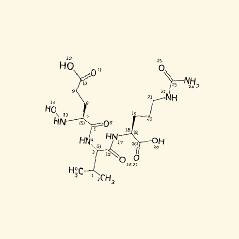 CC(C)[C@H](NC(=O)[C@H](CCC(=O)O)NO)C(=O)N[C@@H](CCCNC(N)=O)C(=O)O